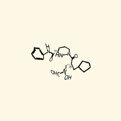 O=CN(O)C[C@@H](CC1CCCC1)C(=O)N1CCC[C@@H](C(=O)Nc2ccccc2)N1